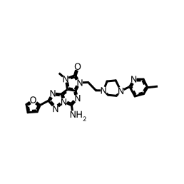 Cc1ccc(N2CCN(CCn3c(=O)n(C)c4c3nc(N)n3nc(-c5ccco5)nc43)CC2)nc1